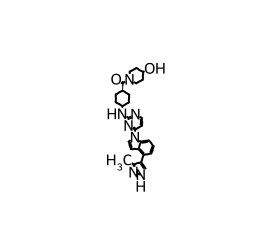 Cc1n[nH]cc1-c1cccc2c1ccn2-c1ccnc(N[C@H]2CC[C@H](C(=O)N3CCC(O)CC3)CC2)n1